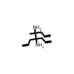 C=CCC(C)(N)C(N)(CC=C)CC=C